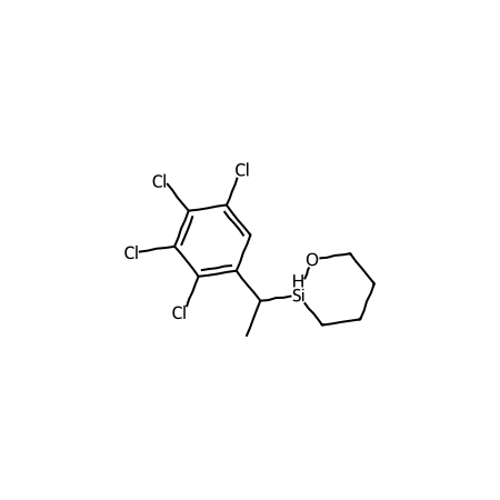 CC(c1cc(Cl)c(Cl)c(Cl)c1Cl)[SiH]1CCCCO1